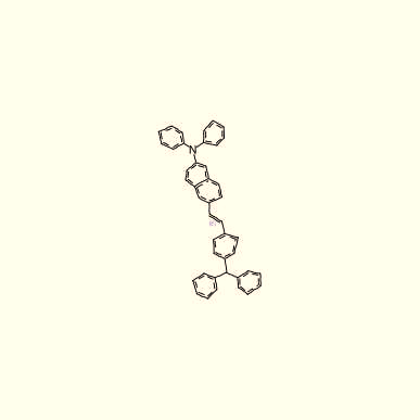 C(=C\c1ccc2cc(N(c3ccccc3)c3ccccc3)ccc2c1)/c1ccc(C(c2ccccc2)c2ccccc2)cc1